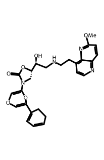 COc1ccc2nccc(CCNC[C@H](O)[C@@H]3CN(C4=COC=C(C5=CC=CCC5)O4)C(=O)O3)c2n1